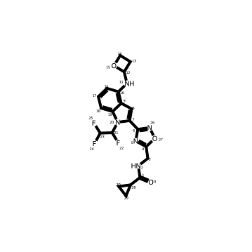 O=C(NCc1nc(-c2cc3c(NC4CCO4)cccc3n2C(F)C(F)F)no1)C1CC1